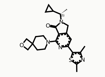 Cc1nc(C)c(-c2cc3c(c(N4CCC5(CC4)COC5)n2)C(=O)N([C@@H](C)C2CC2)C3)s1